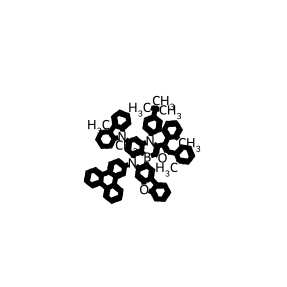 Cc1ccccc1-c1oc2c(c1-c1ccccc1C)N(c1ccc(C(C)(C)C)cc1)c1cc(N3c4ccccc4C4(C)CCCCC34C)cc3c1B2c1cc2c(cc1N3c1ccc3c4ccccc4c4ccccc4c3c1)oc1ccccc12